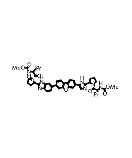 COC(=O)NC(C(=O)N1CCCC1c1ncc(-c2ccc3c(c2)oc2cc(-c4ccc5nc(C6CCCN6C(=O)C(NC(=O)OC)C(C)C)[nH]c5c4)ccc23)[nH]1)C(C)C